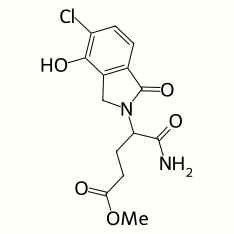 COC(=O)CCC(C(N)=O)N1Cc2c(ccc(Cl)c2O)C1=O